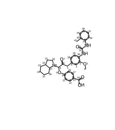 COc1cc(CC(=O)C(Oc2ccc(C(=O)O)cc2)N2CCC3CCCCC32)ccc1NC(=O)Nc1ccccc1C